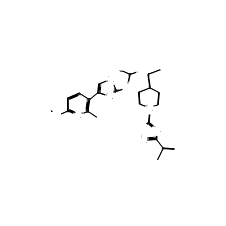 CSc1ccc(-c2cn3c(n2)SC(OC(C)C2CCN(c4nc(C(C)C)no4)CC2)N3)c(C)n1